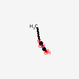 CCCCCCCCCCCCOc1ccc(C=Nc2ccc(C(=O)O)cc2)c(O)c1